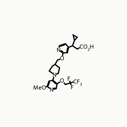 COc1cc(N2CCC(COc3cc(C(CC(=O)O)C4CC4)ccn3)CC2)c(OCC(F)(F)C(F)(F)F)cn1